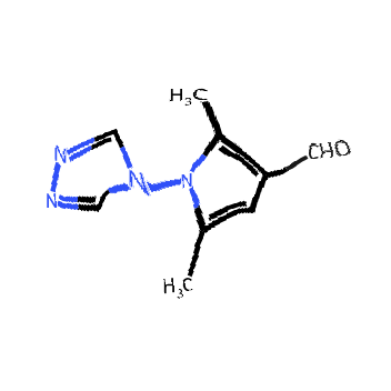 Cc1cc(C=O)c(C)n1-n1cnnc1